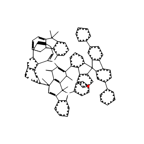 CC1C2=C(c3cccc4c3-c3ccccc3C43c4cc(-c5ccccc5)ccc4-c4ccc(-c5ccccc5)cc43)C(C)C3=C1C(C)(C=C1c4ccccc4N(c4ccccc4)C13C)c1ccc3oc4c(c3c1)/C(=C\CC#CC4)N2c1cccc2c1C1CC=CC=C1C2(C)C